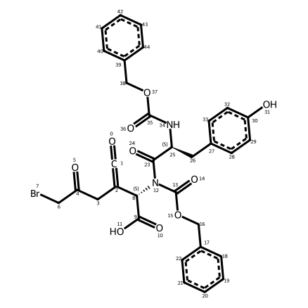 O=C=C(CC(=O)CBr)[C@@H](C(=O)O)N(C(=O)OCc1ccccc1)C(=O)[C@H](Cc1ccc(O)cc1)NC(=O)OCc1ccccc1